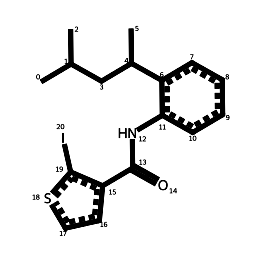 CC(C)CC(C)c1ccccc1NC(=O)c1ccsc1I